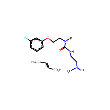 CC(C)N(CCOc1cccc(F)c1)C(=O)NCCN(C)C.O=C(O)/C=C/C(=O)O